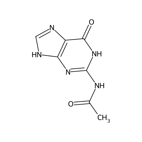 CC(=O)Nc1nc2[nH]cnc2c(=O)[nH]1